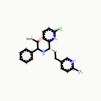 CNC(=O)C(N[C@@H](CCc1ccc(C(F)(F)F)nc1)c1cccc(Cl)n1)c1ccccc1